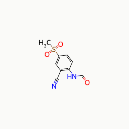 CS(=O)(=O)c1ccc(NC=O)c(C#N)c1